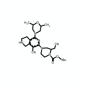 CC1CN(c2nc(N3CCN(C(=O)OC(C)(C)C)C(CC#N)C3)c(C#N)c3c2CCNC3)CC(C)O1